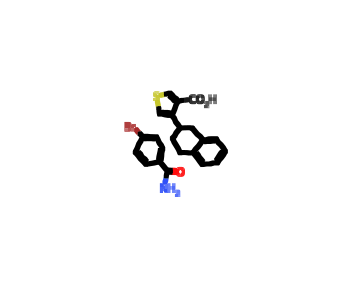 NC(=O)c1ccc(Br)cc1.O=C(O)c1cscc1C1CCc2ccccc2C1